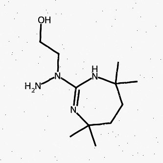 CC1(C)CCC(C)(C)NC(N(N)CCO)=N1